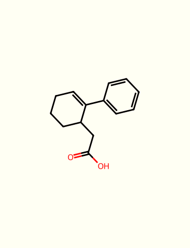 O=C(O)CC1CCCC=C1c1ccccc1